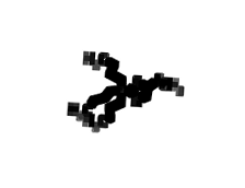 CCC[CH2][Sn]([CH2]CCC)([CH2]CCC)[c]1ncc(SC)s1